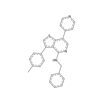 Cc1ccc(-c2csc3c(-c4ccncc4)cnc(NCc4ccccc4)c23)cc1